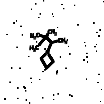 CC(N1CCC1)C(C)(C)C